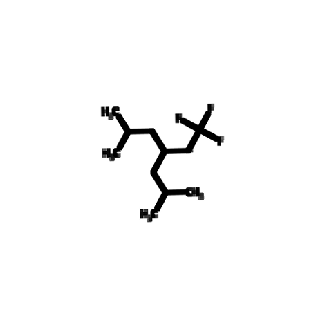 CC(C)CC([CH]C(F)(F)F)CC(C)C